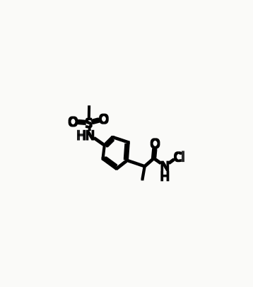 CC(C(=O)NCl)c1ccc(NS(C)(=O)=O)cc1